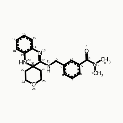 CN(C)C(=O)c1cccc(CNC2=Nc3ccccc3NC23CCOCC3)c1